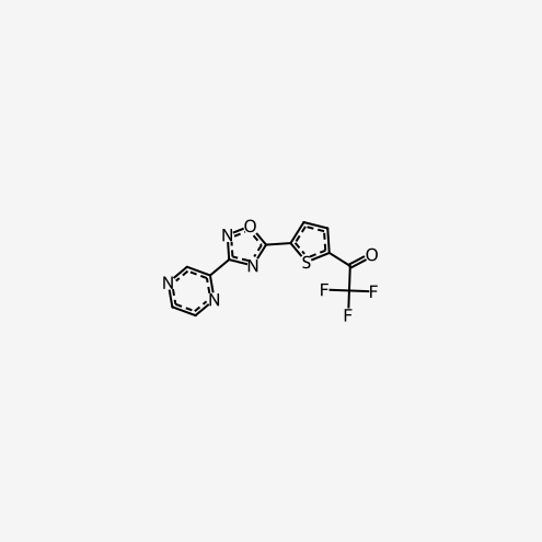 O=C(c1ccc(-c2nc(-c3cnccn3)no2)s1)C(F)(F)F